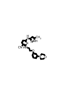 [C-]#[N+]c1ccc(Nc2cc(C)[nH]n2)nc1NCCOc1cccc(N2CCOCC2)c1